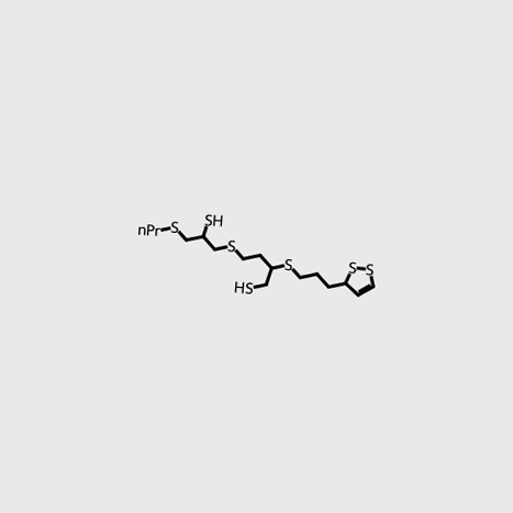 CCCSCC(S)CSCCC(CS)SCCCC1C=CSS1